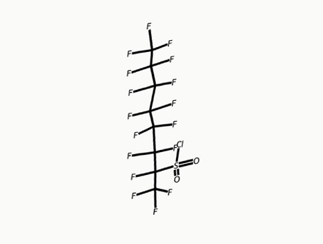 O=S(=O)(Cl)C(F)(C(F)(F)F)C(F)(F)C(F)(F)C(F)(F)C(F)(F)C(F)(F)C(F)(F)F